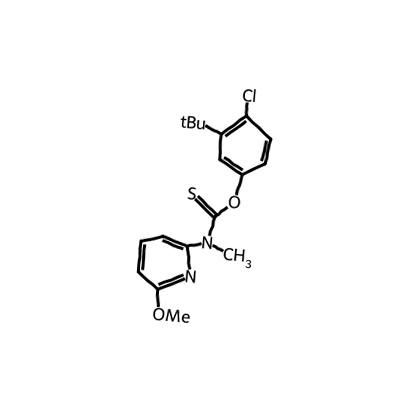 COc1cccc(N(C)C(=S)Oc2ccc(Cl)c(C(C)(C)C)c2)n1